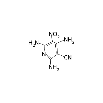 N#Cc1c(N)nc(N)c([N+](=O)[O-])c1N